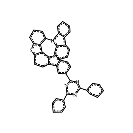 c1ccc(-c2nc(-c3ccccc3)nc(-c3ccc4sc5c(ccc6sc7cccc(-n8c9ccccc9c9ccccc98)c7c65)c4c3)n2)cc1